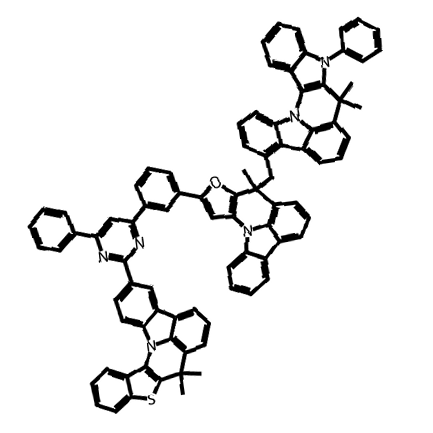 CC1(C)c2sc3ccccc3c2-n2c3ccc(-c4nc(-c5ccccc5)cc(-c5cccc(-c6cc7c(o6)C(C)(Cc6cccc8c6c6cccc9c6n8-c6c(n(-c8ccccc8)c8ccccc68)C9(C)C)c6cccc8c9ccccc9n-7c68)c5)n4)cc3c3cccc1c32